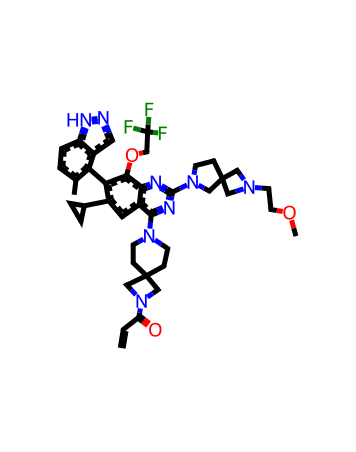 C=CC(=O)N1CC2(CCN(c3nc(N4CCC5(CN(CCOC)C5)C4)nc4c(OCC(F)(F)F)c(-c5c(C)ccc6[nH]ncc56)c(C5CC5)cc34)CC2)C1